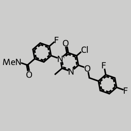 CNC(=O)c1ccc(F)c(-n2c(C)nc(OCc3ccc(F)cc3F)c(Cl)c2=O)c1